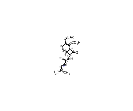 CC(=O)OCC1=C(C(=O)O)N2C(=O)[C@H](NC(=S)/N=C/N(C)C)[C@@H]2SC1